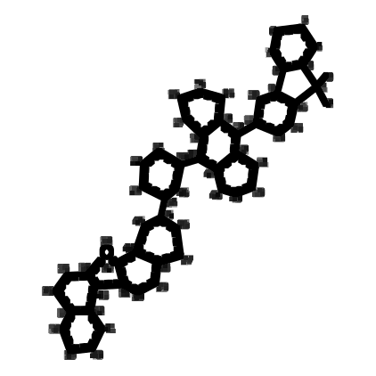 CC1(C)c2ccccc2-c2cc(-c3c4ccccc4c(-c4cccc(-c5ccc6ccc7c(oc8ccc9ccccc9c87)c6c5)c4)c4ccccc34)ccc21